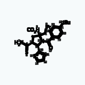 CC(C)C[C@@]1(C(=O)O)C[C@H](C(N)=S)[C@H](c2nccs2)N1C(=O)c1ccc(C(C)(C)C)cc1